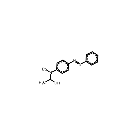 CCN(c1ccc(/N=N/c2ccccc2)cc1)C(C)O